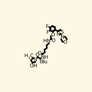 C[C@@H]1C[C@@H](O)CN1C(=O)[C@@H](NC(=O)CCCCCNC(=O)COc1c(-c2csc(N3CCOCC3)n2)ccc(F)c1F)C(C)(C)C